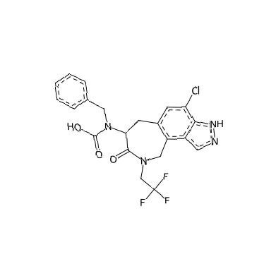 O=C1C(N(Cc2ccccc2)C(=O)O)Cc2cc(Cl)c3[nH]ncc3c2CN1CC(F)(F)F